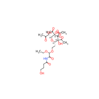 CCOC(OCC[C@@H]1O[C@H](C(O)C(C)=O)[C@@](O)(C(C)=O)[C@@](O)(C(C)=O)[C@]1(O)C(C)=O)C(=O)NC(=O)CCCO